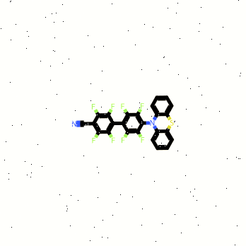 N#Cc1c(F)c(F)c(-c2c(F)c(F)c(N3c4ccccc4Sc4ccccc43)c(F)c2F)c(F)c1F